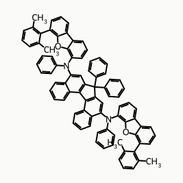 Cc1cccc(C)c1-c1cccc2c1oc1c(N(c3ccccc3)c3cc4c(c5ccccc35)-c3c(cc(N(c5ccccc5)c5cccc6c5oc5c(-c7c(C)cccc7C)cccc56)c5ccccc35)C4(c3ccccc3)c3ccccc3)cccc12